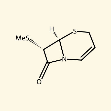 CS[C@H]1C(=O)N2C=CCS[C@H]12